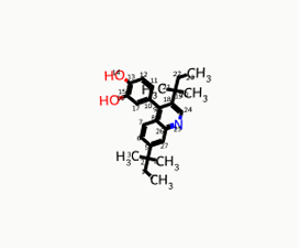 CCC(C)(C)c1ccc2c(-c3ccc(O)c(O)c3)c(C(C)(C)CC)cnc2c1